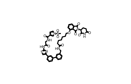 CS(=O)(=O)n1ccc(C(=O)NCC(=O)Nc2nc(-c3cccc(-c4cccc(CNC(=O)CCCCCCOc5cccc6c5C(=O)N(C5CCC(=O)NC5=O)C6=O)c4)c3)cs2)c1